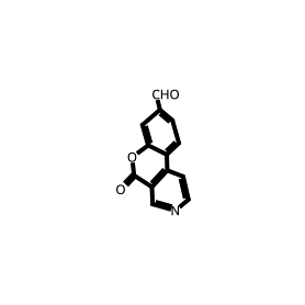 O=Cc1ccc2c(c1)oc(=O)c1cnccc12